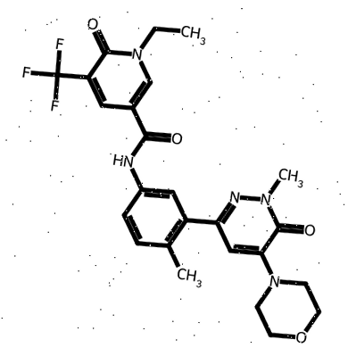 CCn1cc(C(=O)Nc2ccc(C)c(-c3cc(N4CCOCC4)c(=O)n(C)n3)c2)cc(C(F)(F)F)c1=O